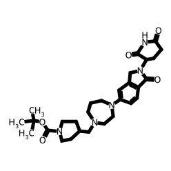 CC(C)(C)OC(=O)N1CCC(CN2CCCN(c3ccc4c(c3)CN(C3CCC(=O)NC3=O)C4=O)CC2)CC1